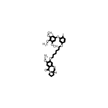 COc1cc2c(cc1OCCCCCCOc1ccc(I)c(Oc3cc(OC)c(OC)c(OC)c3)c1)N=C[C@@H]1CCCN1C2=O